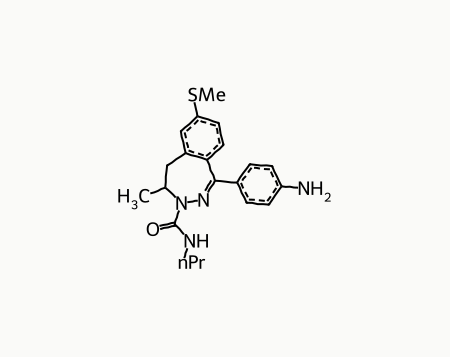 CCCNC(=O)N1N=C(c2ccc(N)cc2)c2ccc(SC)cc2CC1C